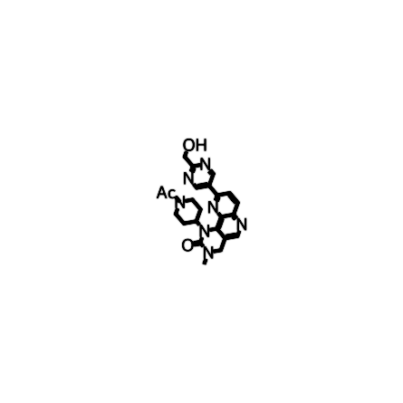 CC(=O)N1CCC(N2C(=O)N(C)Cc3cnc4ccc(-c5cnc(CO)nc5)nc4c32)CC1